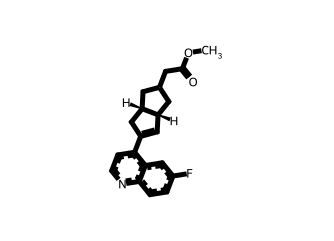 COC(=O)CC1C[C@H]2CC(c3ccnc4ccc(F)cc34)=C[C@H]2C1